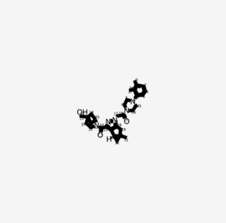 Cc1cccc(N2CCN(C(=O)Cn3nc(C(=O)N4CCC5(CO)CC4C5)c4c3CC3(C)C[C@@H]43)CC2)c1C